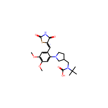 COc1cc(/C=C2\SC(=O)NC2=O)c(N2CCC(CN(C(=O)O)C(C)(C)C)C2)cc1OC